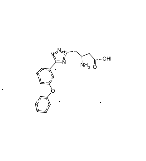 NC(CC(=O)O)Cn1nnc(-c2cccc(Oc3ccccc3)c2)n1